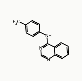 FC(F)(F)c1ccc(Nc2ncnc3ccccc23)cc1